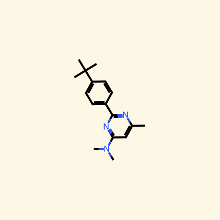 Cc1cc(N(C)C)nc(-c2ccc(C(C)(C)C)cc2)n1